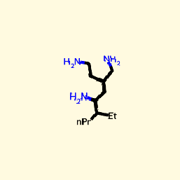 CCCC(CC)C(N)CC(CN)CCN